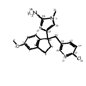 COc1ccc2c(c1)CCC2(Cc1ccc(Cl)nc1)c1cn(C)c(N)n1